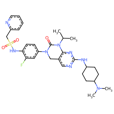 CC(C)N1C(=O)N(c2ccc(NS(=O)(=O)Cc3ccccn3)c(F)c2)Cc2cnc(NC3CCC(N(C)C)CC3)nc21